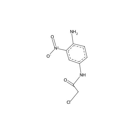 Nc1ccc(NC(=O)CCl)cc1[N+](=O)[O-]